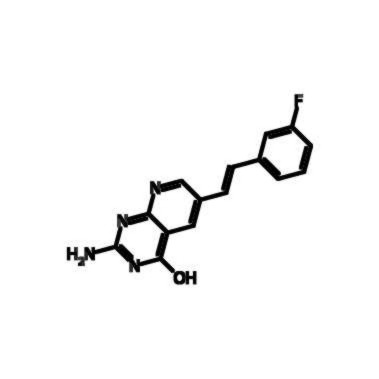 Nc1nc(O)c2cc(/C=C/c3cccc(F)c3)cnc2n1